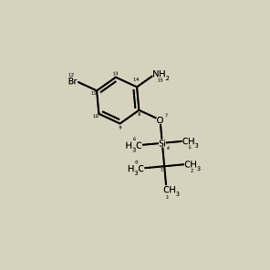 CC(C)(C)[Si](C)(C)Oc1ccc(Br)cc1N